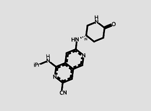 CC(C)Nc1nc(C#N)cc2cnc(N[C@H]3CCC(=O)NC3)cc12